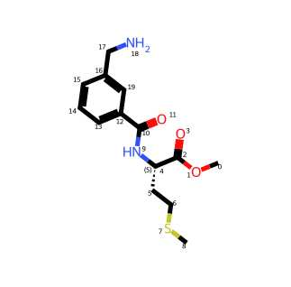 COC(=O)[C@H](CCSC)NC(=O)c1cccc(CN)c1